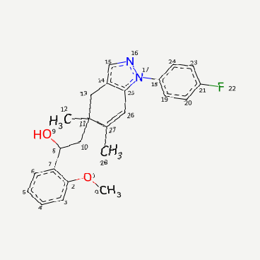 COc1ccccc1C(O)CC1(C)Cc2cnn(-c3ccc(F)cc3)c2C=C1C